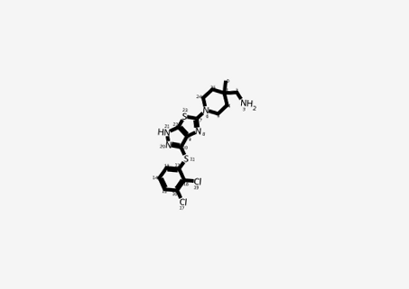 CC1(CN)CCN(c2nc3c(Sc4cccc(Cl)c4Cl)n[nH]c3s2)CC1